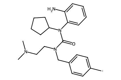 [CH]c1ccc(CN(CCN(C)C)C(=O)N(c2ccccc2N)C2CCCC2)cc1